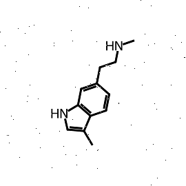 CNCCc1ccc2c(C)c[nH]c2c1